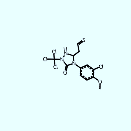 COc1ccc(N2C(=O)N(C(Cl)(Cl)Cl)NC2CC=S)cc1Cl